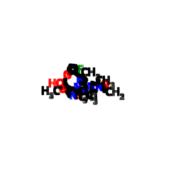 C=CC(=O)N1C[C@H](C)N(c2nc(=O)n3c4nc(c(C)cc24)-c2c(F)cccc2OCC(O)C(OCC)c2ccnc(C(C)C)c2-3)C[C@H]1C